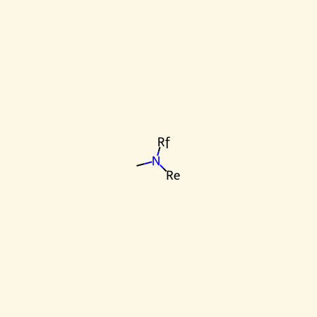 C[N]([Re])[Rf]